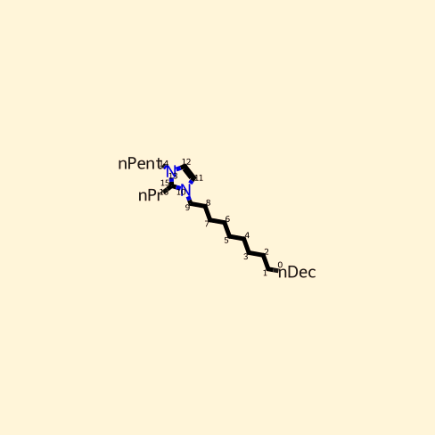 CCCCCCCCCCCCCCCCCCCN1C=CN(CCCCC)C1CCC